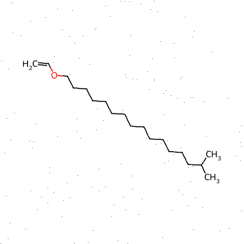 C=COCCCCCCCCCCCCCCC(C)C